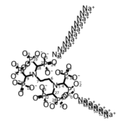 O=P([O-])([O-])C(N(CCN(C(P(=O)([O-])[O-])P(=O)([O-])[O-])C(P(=O)([O-])[O-])P(=O)([O-])[O-])C(P(=O)([O-])[O-])P(=O)([O-])[O-])P(=O)([O-])[O-].[Na+].[Na+].[Na+].[Na+].[Na+].[Na+].[Na+].[Na+].[Na+].[Na+].[Na+].[Na+].[Na+].[Na+].[Na+].[Na+]